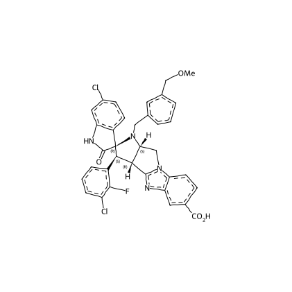 COCc1cccc(CN2[C@@H]3Cn4c(nc5cc(C(=O)O)ccc54)[C@@H]3[C@@H](c3cccc(Cl)c3F)[C@@]23C(=O)Nc2cc(Cl)ccc23)c1